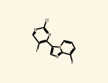 Fc1cnc(Cl)nc1-c1cnc2c(F)cccn12